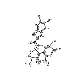 COC1OC[C@@H](N(C)C(=O)c2cc3cc(F)c(F)cc3[nH]2)c2c1[nH]c(=O)c1cc(F)c(F)cc21